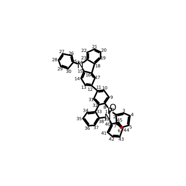 O=P1(c2ccccc2)c2ccc(-c3ccc4c(c3)c3ccccc3n4-c3ccccc3)cc2-c2ccccc2N1c1ccccc1